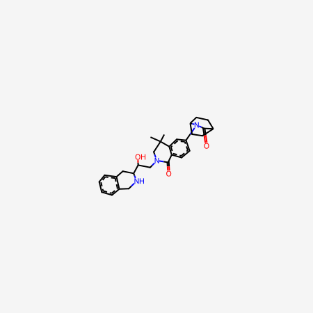 CC1(C)CN(CC(O)C2Cc3ccccc3CN2)C(=O)c2ccc(N3C(=O)C4CCC3CC4)cc21